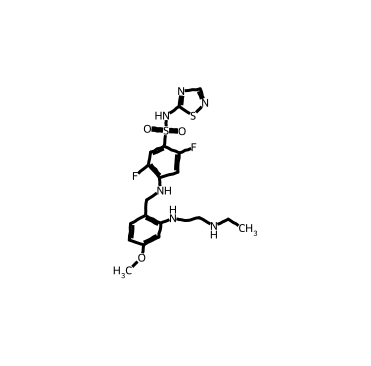 CCNCCNc1cc(OC)ccc1CNc1cc(F)c(S(=O)(=O)Nc2ncns2)cc1F